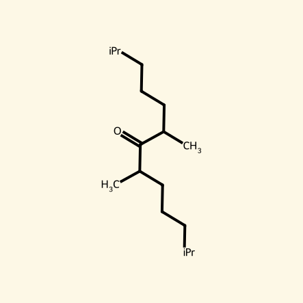 CC(C)CCCC(C)C(=O)C(C)CCCC(C)C